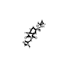 Cn1cncc1Cn1c(=O)c2cc(S(=O)(=O)NC3(C)CC3)ccc2n(C)c1=O